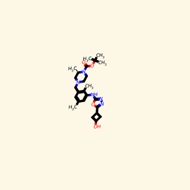 Cc1cc(CN2CCN(C(=O)OC(C)(C)C)[C@@H](C)C2)c(C)c(Nc2nnc(C3CC(O)C3)o2)c1